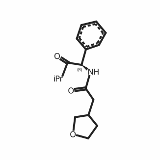 CC(C)C(=O)[C@H](NC(=O)CC1CCOC1)c1ccccc1